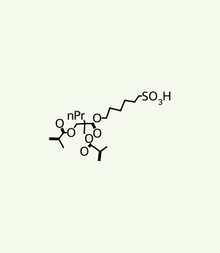 C=C(C)C(=O)OCC(CCC)(COC(=O)C(=C)C)C(=O)OCCCCCCS(=O)(=O)O